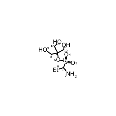 CCC(N)S(=O)(=O)OC(CO)(CO)CO